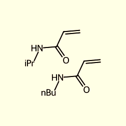 C=CC(=O)NC(C)C.C=CC(=O)NCCCC